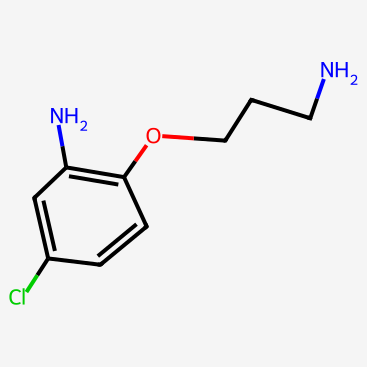 NCCCOc1ccc(Cl)cc1N